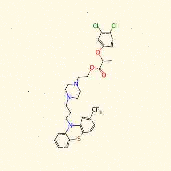 CC(Oc1ccc(Cl)c(Cl)c1)C(=O)OCCN1CCN(CCCN2c3ccccc3Sc3ccc(C(F)(F)F)cc32)CC1